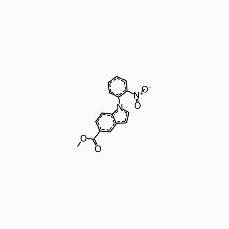 COC(=O)c1ccc2c(ccn2-c2ccccc2[N+](=O)[O-])c1